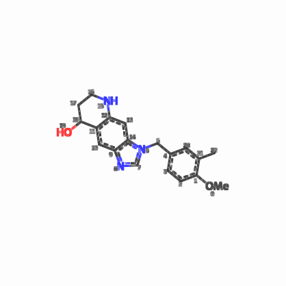 COc1ccc(Cn2cnc3cc4c(cc32)NCCC4O)cc1C